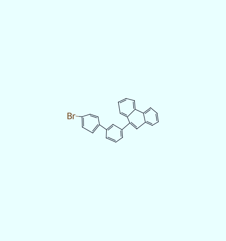 Brc1ccc(-c2cccc(-c3cc4ccccc4c4ccccc34)c2)cc1